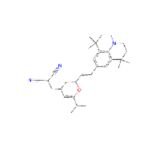 CC(C)C1=CC(CC(C#N)C#N)C=C(/C=C/c2cc3c4c(c2)C(C)(C)CCN4CCC3(C)C)O1